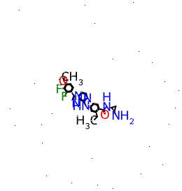 CCc1cc(Nc2nccn3c(-c4ccc(OC)c(F)c4F)cnc23)ccc1C(=O)N[C@@H]1C[C@H]1N